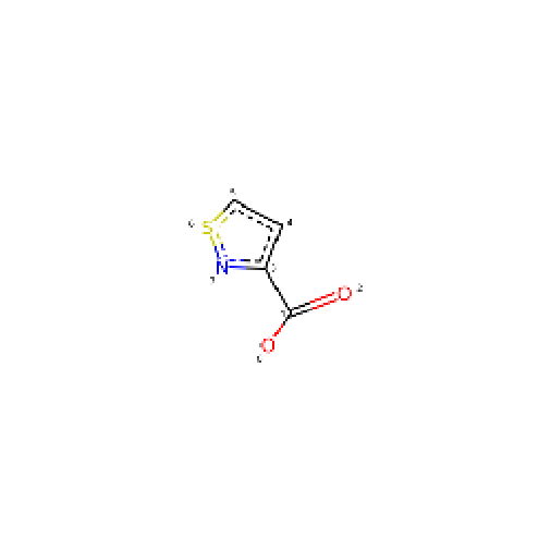 [O]C(=O)c1ccsn1